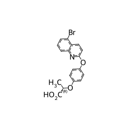 C[C@@H](Oc1ccc(Oc2ccc3c(Br)cccc3n2)cc1)C(=O)O